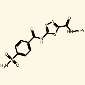 CCCNC(=O)c1nnc(NC(=O)c2ccc(S(N)(=O)=O)cc2)s1